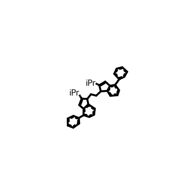 CC(C)C1=Cc2c(-c3ccccc3)cccc2C1CCC1C(C(C)C)=Cc2c(-c3ccccc3)cccc21